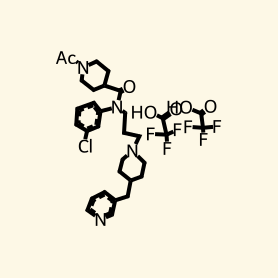 CC(=O)N1CCC(C(=O)N(CCCN2CCC(Cc3cccnc3)CC2)c2cccc(Cl)c2)CC1.O=C(O)C(F)(F)F.O=C(O)C(F)(F)F